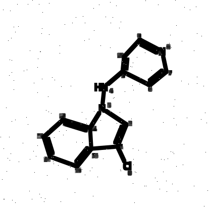 Clc1cn(Nc2ccncc2)c2ccccc12